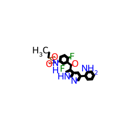 CCCS(=O)(=O)Nc1ccc(F)c(C(=O)c2c[nH]c3ncc(-c4ccccc4N)cc23)c1F